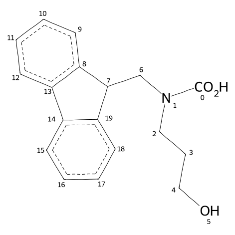 O=C(O)N(CCCO)CC1c2ccccc2-c2ccccc21